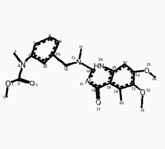 COC(=O)N(C)c1cccc(CN(C)c2nc(=O)c3c(C)c(OC)c(OC)cc3[nH]2)c1